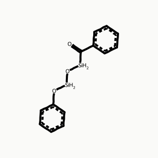 O=C([SiH2]O[SiH2]Oc1ccccc1)c1ccccc1